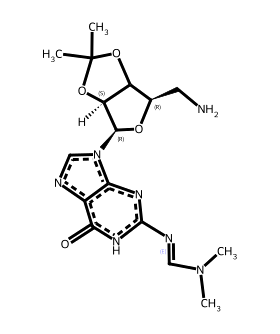 CN(C)/C=N/c1nc2c(ncn2[C@@H]2O[C@H](CN)C3OC(C)(C)O[C@@H]32)c(=O)[nH]1